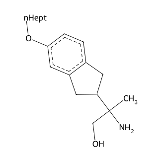 CCCCCCCOc1ccc2c(c1)CC(C(C)(N)CO)C2